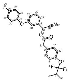 CC(C)C(F)(F)Oc1ccc(CC(=O)OC(C#N)c2cccc(Oc3ccc(F)cc3)c2)cc1